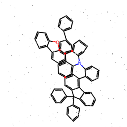 c1ccc(-c2ccc(-c3ccccc3N(c3ccccc3-c3cccc4c3-c3ccccc3C4(c3ccccc3)c3ccccc3)c3ccccc3-c3cccc4c3oc3ccccc34)cc2)cc1